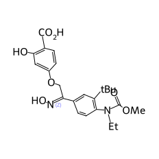 CCN(C(=O)OC)c1ccc(/C(COc2ccc(C(=O)O)c(O)c2)=N/O)cc1C(C)(C)C